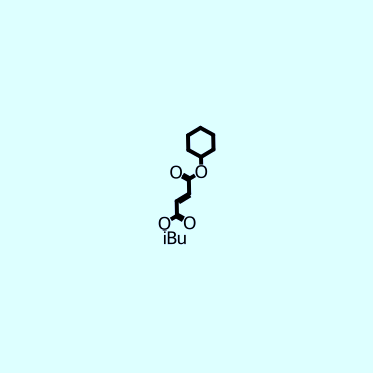 CCC(C)OC(=O)/C=C/C(=O)OC1CCCCC1